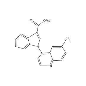 COC(=O)c1cn(-c2ccnc3ccc(C(F)(F)F)cc23)c2ccccc12